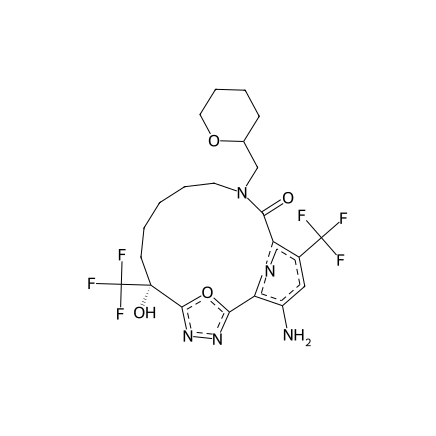 Nc1cc(C(F)(F)F)c2nc1-c1nnc(o1)[C@@](O)(C(F)(F)F)CCCCCN(CC1CCCCO1)C2=O